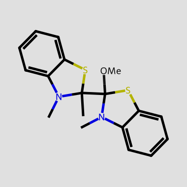 COC1(C2(C)Sc3ccccc3N2C)Sc2ccccc2N1C